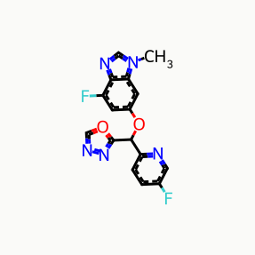 Cn1cnc2c(F)cc(OC(c3ccc(F)cn3)c3nnco3)cc21